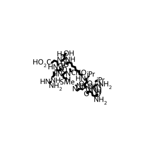 CSCCC(NC(=O)[C@H](CCCNC(=N)N)NC(=O)C(CCC(=O)O)NC(=O)[C@@H](NC(=O)CCCCCCCN[C@@H](CC(C)C)C(=O)C(=O)[C@H](Cc1cnc[nH]1)NC(=O)C(CC(N)=O)NC(=O)[C@H](CC(C)C)NN)[C@@H](C)O)C(=O)N[C@@H](C)C=O